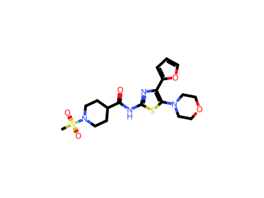 CS(=O)(=O)N1CCC(C(=O)Nc2nc(-c3ccco3)c(N3CCOCC3)s2)CC1